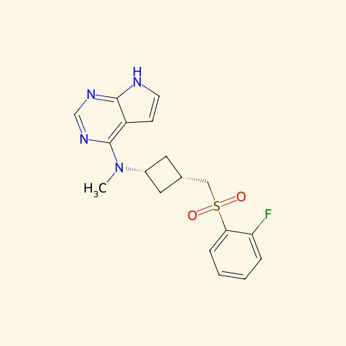 CN(c1ncnc2[nH]ccc12)[C@H]1C[C@@H](CS(=O)(=O)c2ccccc2F)C1